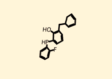 Oc1c(CC2C=CC=CC2)cccc1Pc1ccccc1F